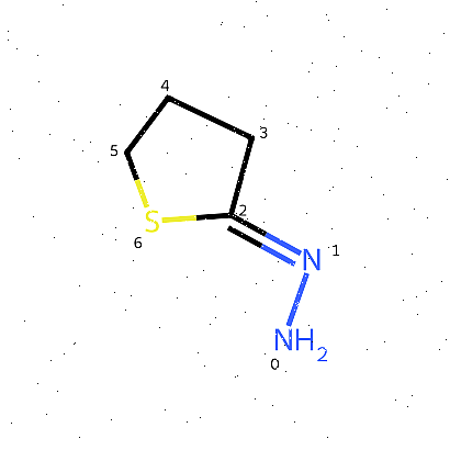 NN=C1CCCS1